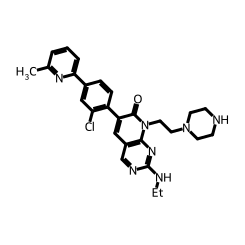 CCNc1ncc2cc(-c3ccc(-c4cccc(C)n4)cc3Cl)c(=O)n(CCN3CCNCC3)c2n1